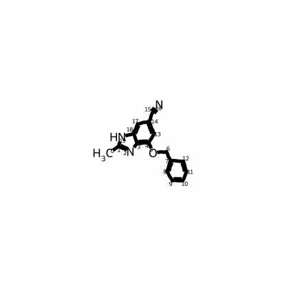 Cc1nc2c(OCc3ccccc3)cc(C#N)cc2[nH]1